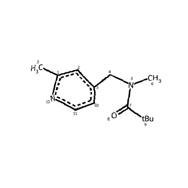 Cc1cc(CN(C)C(=O)C(C)(C)C)ccn1